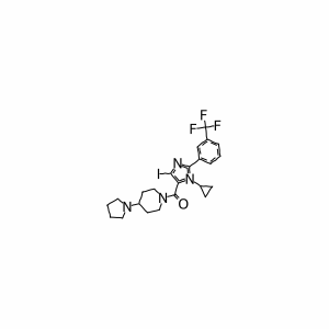 O=C(c1c(I)nc(-c2cccc(C(F)(F)F)c2)n1C1CC1)N1CCC(N2CCCC2)CC1